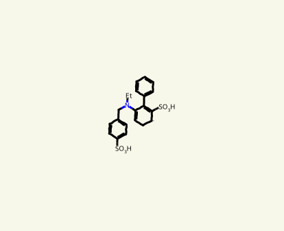 CCN(Cc1ccc(S(=O)(=O)O)cc1)C1=CC[CH]C(S(=O)(=O)O)=C1c1ccccc1